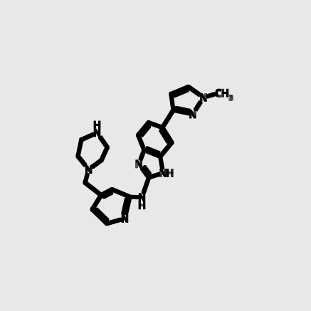 Cn1ccc(-c2ccc3nc(Nc4cc(CN5CCNCC5)ccn4)[nH]c3c2)n1